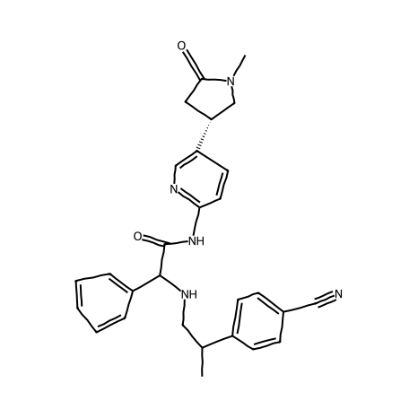 CC(CNC(C(=O)Nc1ccc([C@@H]2CC(=O)N(C)C2)cn1)c1ccccc1)c1ccc(C#N)cc1